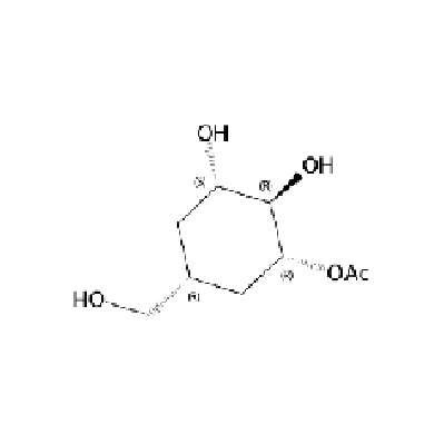 CC(=O)O[C@@H]1C[C@H](CO)C[C@H](O)[C@H]1O